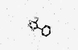 [18F]c1onnc1-c1ccccc1